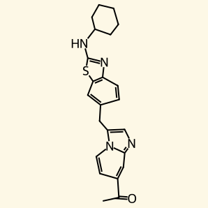 CC(=O)c1ccn2c(Cc3ccc4nc(NC5CCCCC5)sc4c3)cnc2c1